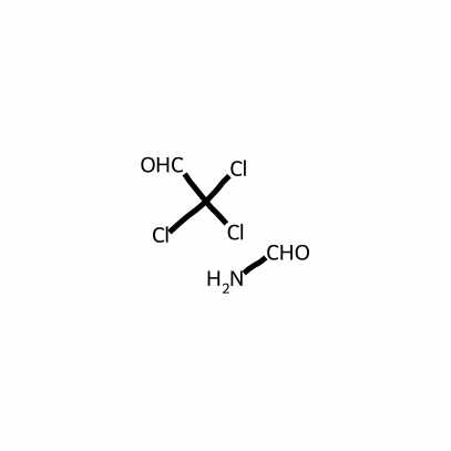 NC=O.O=CC(Cl)(Cl)Cl